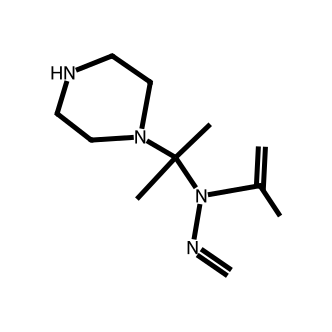 C=NN(C(=C)C)C(C)(C)N1CCNCC1